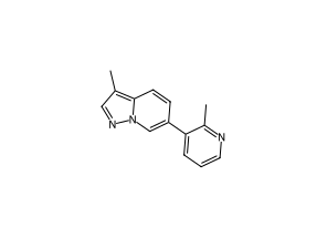 Cc1ncccc1-c1ccc2c(C)cnn2c1